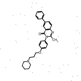 Cc1nc2ccc(-c3ccccc3)cc2c(=O)n1-c1ccc(OCCCN2CCCCC2)cc1